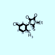 CCN1C(=O)C(=O)N(c2cc(Cl)ccc2C)C1=S